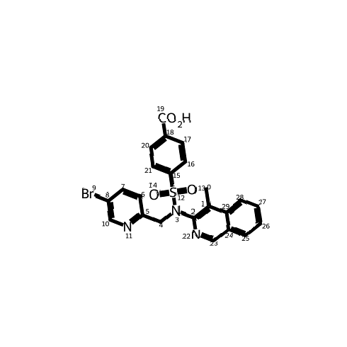 Cc1c(N(Cc2ccc(Br)cn2)S(=O)(=O)c2ccc(C(=O)O)cc2)ncc2ccccc12